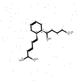 CCCCCCCCC(C=CC=C[C@H]1CC=CC[C@H]1C(CCCC(=O)O)OC(C)=O)OC(C)=O